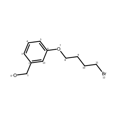 [O]Cc1cccc(OCCCCBr)c1